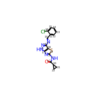 O=C(Nc1nc2[nH]nc(/N=C/c3ccccc3Cl)c2s1)C1CC1